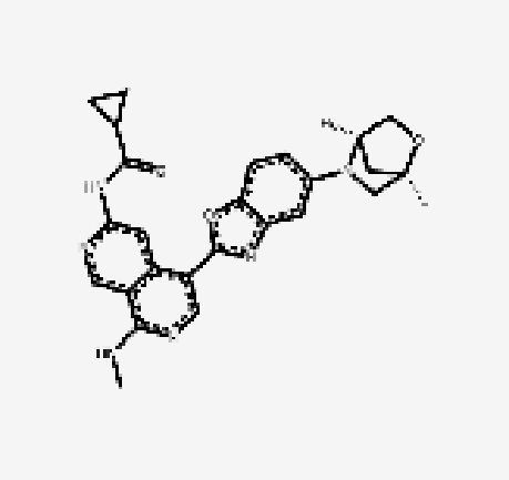 CNc1ncc(-c2nc3cc(N4C[C@H]5C[C@@H]4CO5)ccc3o2)c2cc(NC(=O)C3CC3)ncc12